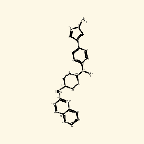 CC(=O)N(c1ccc(-c2cnn(C)c2)cc1)C1CCC(Nc2ncc3ccccc3n2)CC1